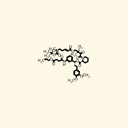 C=CCOC(=O)CCC(=O)Nc1cccc([C@@H](CCc2ccc(OC)c(OC)c2)OC(=O)[C@@H]2CCCCN2C(=O)C(=O)C(C)(C)COC(=O)/C=C/CCN(C)C(=O)OC(C)(C)C)c1